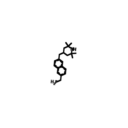 CC1(C)CC(Cc2ccc3cc(CP)ccc3c2)CC(C)(C)N1